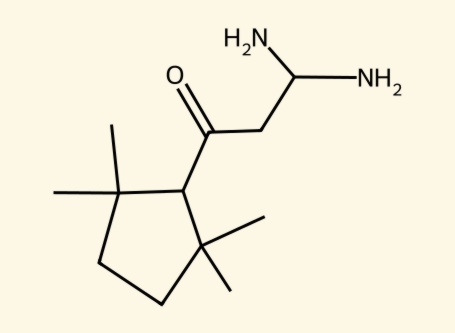 CC1(C)CCC(C)(C)C1C(=O)CC(N)N